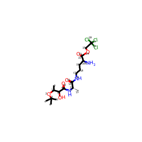 CC(OC(C)(C)C)C(O)C(=O)N[C@@H](C)C(=O)NCCCC(N)C(=O)OCC(Cl)(Cl)Cl